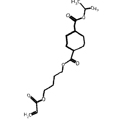 C=CC(=O)OCCCCOC(=O)C1CCC(C(=O)OC(C)C)CC1